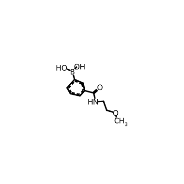 COCCNC(=O)c1cccc(B(O)O)c1